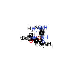 CS(=O)(=O)O.Cc1ccc(-c2ccc(C(=O)NC(C)(C)CC(C)(C)C)cc2C(=O)O)c(C(=O)Nc2ccc(C(=N)N)cc2)n1